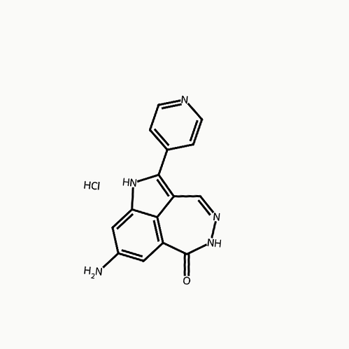 Cl.Nc1cc2c3c(c(-c4ccncc4)[nH]c3c1)C=NNC2=O